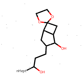 CCCCCCCC(O)CCC1CC2C(CC23OCCO3)C1O